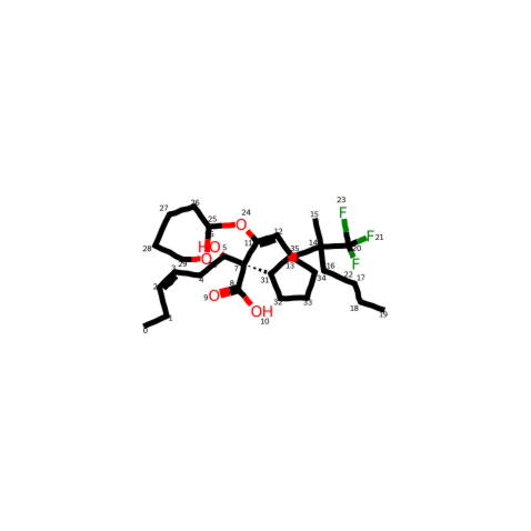 CC/C=C\C[C@@H](O)[C@](C(=O)O)(/C(=C\CC(C)(CCCC)C(F)(F)F)OC1CCCCO1)C1CCCC1